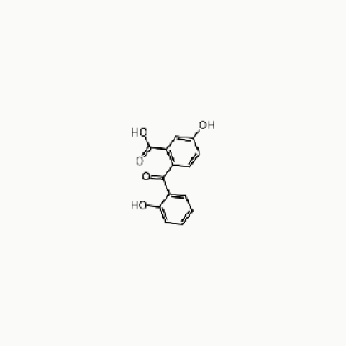 O=C(O)c1cc(O)ccc1C(=O)c1ccccc1O